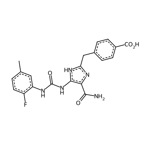 Cc1ccc(F)c(NC(=O)Nc2[nH]c(Cc3ccc(C(=O)O)cc3)nc2C(N)=O)c1